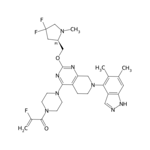 C=C(F)C(=O)N1CCN(c2nc(OC[C@H]3CC(F)(F)CN3C)nc3c2CCN(c2c(C)c(C)cc4[nH]ncc24)C3)CC1